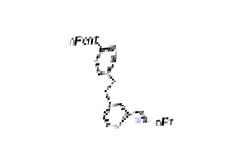 CCC/C=C/c1cccc(CCc2ccc(CCCCC)cc2)c1